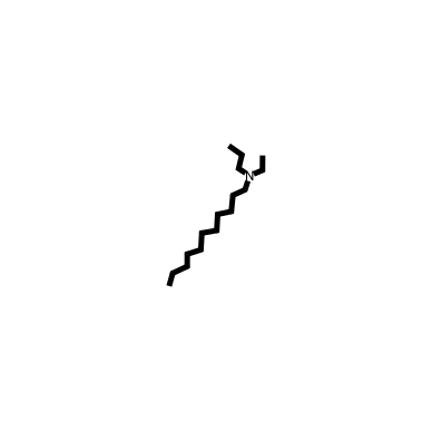 CCCCCCCCCCCN(CC)CCC